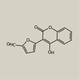 O=Cc1ccc(-c2c(O)c3ccccc3oc2=O)o1